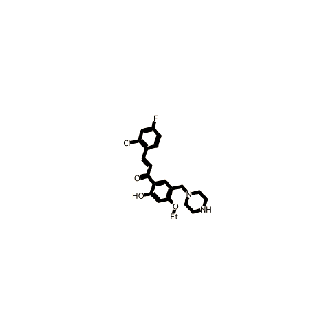 CCOc1cc(O)c(C(=O)/C=C/c2ccc(F)cc2Cl)cc1CN1CCNCC1